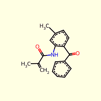 C=C(C)C(=O)Nc1cc(C)ccc1C(=O)c1ccccc1